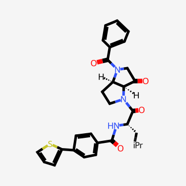 CC(C)C[C@H](NC(=O)c1ccc(-c2cccs2)cc1)C(=O)N1CC[C@@H]2[C@H]1C(=O)CN2C(=O)c1ccccc1